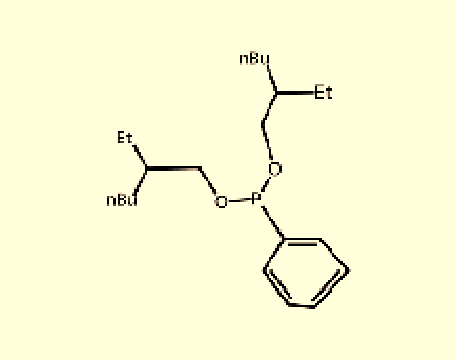 CCCCC(CC)COP(OCC(CC)CCCC)c1ccccc1